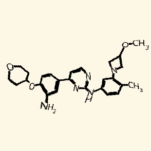 COC1CN(c2cc(Nc3nccc(-c4ccc(OC5CCOCC5)c(N)c4)n3)ccc2C)C1